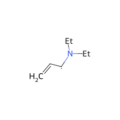 C=C[CH]N(CC)CC